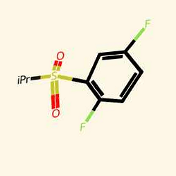 CC(C)S(=O)(=O)c1cc(F)ccc1F